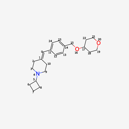 C(=C1CCN(C2CCC2)CC1)c1ccc(COC2CCOCC2)cc1